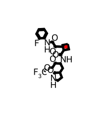 O=C(Nc1ccccc1F)C(=O)N1CC2CC1(C(=O)NC(CC1CCNC1=O)C(=O)COC(F)(F)F)C2